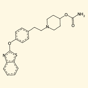 NC(=O)OC1CCN(CCc2ccc(Oc3nc4ccccc4s3)cc2)CC1